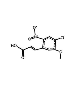 COc1cc(C=CC(=O)O)c([N+](=O)[O-])cc1Cl